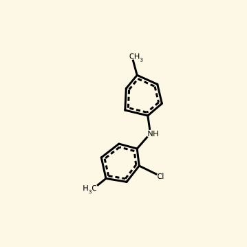 Cc1ccc(Nc2ccc(C)cc2Cl)cc1